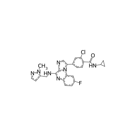 Cn1nccc1CNc1nc2ccc(F)cc2n2c(-c3ccc(C(=O)NC4CC4)c(Cl)c3)cnc12